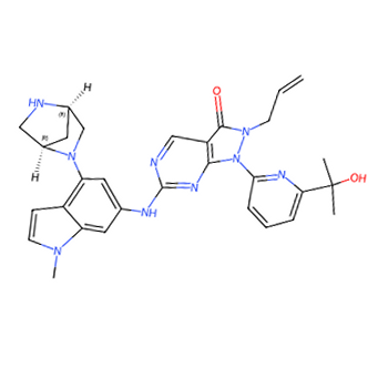 C=CCn1c(=O)c2cnc(Nc3cc(N4C[C@H]5C[C@@H]4CN5)c4ccn(C)c4c3)nc2n1-c1cccc(C(C)(C)O)n1